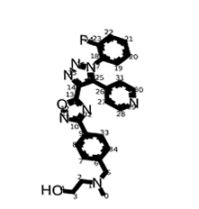 CN(CCO)Cc1ccc(-c2noc(-c3nnn(-c4ccccc4F)c3-c3ccncc3)n2)cc1